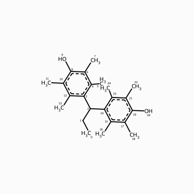 CCC(c1c(C)c(C)c(O)c(C)c1C)c1c(C)c(C)c(O)c(C)c1C